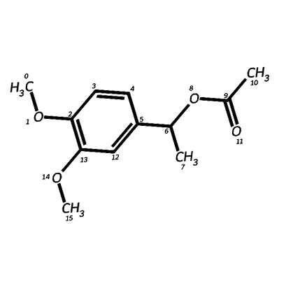 COc1ccc(C(C)OC(C)=O)cc1OC